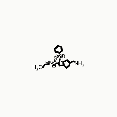 CCCCNS(=O)(=O)c1cc2ccc(CN)cc2n1S(=O)(=O)c1ccccc1